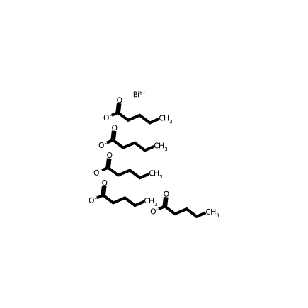 CCCCC(=O)[O-].CCCCC(=O)[O-].CCCCC(=O)[O-].CCCCC(=O)[O-].CCCCC(=O)[O-].[Bi+5]